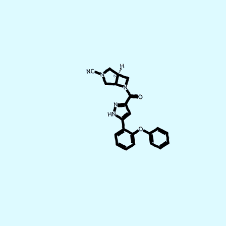 N#CN1CC2[C@@H](C1)CN2C(=O)c1cc(-c2ccccc2Oc2ccccc2)[nH]n1